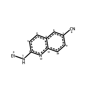 CCNc1ccc2cc(C#N)ccc2n1